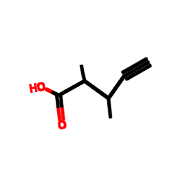 C#CC(C)C(C)C(=O)O